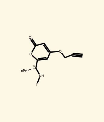 C#CCOc1cc([C@@H](CCC)NI)oc(=O)c1